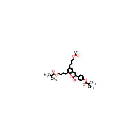 C=C(C)C(=O)OCCCCc1cc(CCCCOC(=O)CC)cc2c1OC(O)C(c1ccc(OC(=O)C(=C)C)cc1)=C2